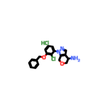 Cl.NC1COCc2c1cnn2-c1cccc(OCc2ccccc2)c1Cl